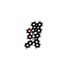 c1ccc(-c2ccccc2N(c2ccc3c(c2)C2(c4ccccc4-c4ccccc42)c2ccccc2-3)c2cccc3c2oc2c(-c4ccc5ccccc5c4)c4ccccc4cc23)cc1